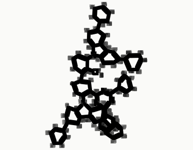 FC(F)(F)c1c(-c2ccc(-n3c4ccc(-c5ccccc5)cc4c4cc(-c5ccccc5)ccc43)c(-c3nc(-c4ccccc4)nc(-c4ccccc4)n3)c2)cccc1-n1c2ccc(-c3ccccc3)cc2c2cc(-c3ccccc3)ccc21